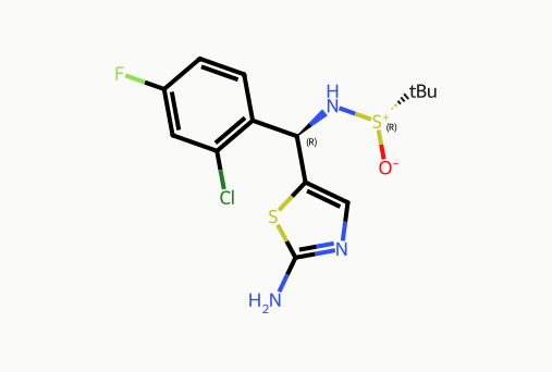 CC(C)(C)[S@+]([O-])N[C@@H](c1cnc(N)s1)c1ccc(F)cc1Cl